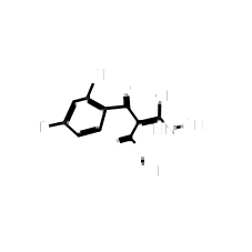 CN/C(C)=C(\C(=O)OC)C(=O)c1ccc(F)cc1Cl